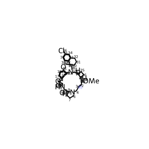 CO[C@H]1/C=C/CN2CCC[C@H]2C(=O)NS(=O)(=O)c2ccc3c(c2)N(C[C@@H]2CC[C@H]21)C[C@@]1(CCCc2cc(Cl)ccc21)CO3